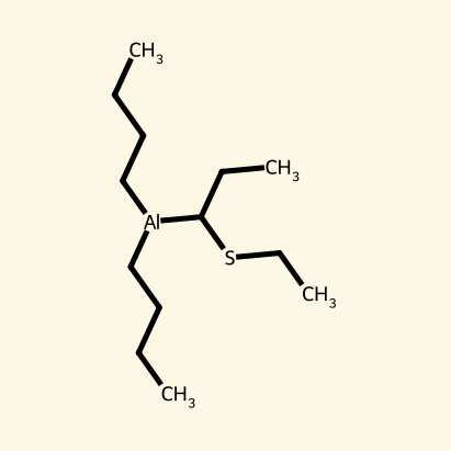 CCC[CH2][Al]([CH2]CCC)[CH](CC)SCC